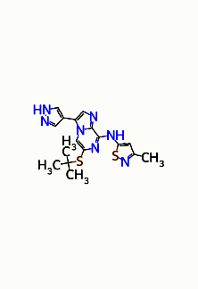 Cc1cc(Nc2nc(SC(C)(C)C)cn3c(-c4cn[nH]c4)cnc23)sn1